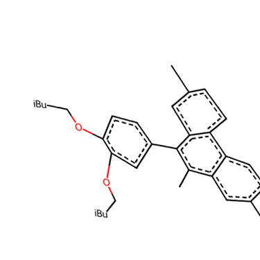 CCC(C)COc1ccc(-c2c(C)c3cc(C)ccc3c3ccc(C)cc23)cc1OCC(C)CC